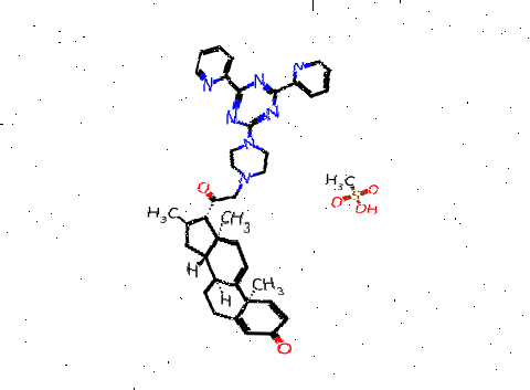 CS(=O)(=O)O.C[C@@H]1C[C@H]2[C@@H]3CCC4=CC(=O)C=C[C@]4(C)C3=CC[C@]2(C)[C@H]1C(=O)CN1CCN(c2nc(-c3ccccn3)nc(-c3ccccn3)n2)CC1